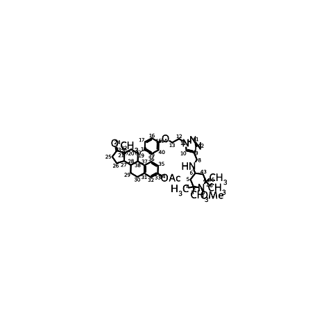 CON1C(C)(C)CC(NCc2cn(CCOc3ccc([C@H]4C[C@]5(C)C(=O)CCC5C5CCc6cc(OC(C)=O)ccc6C54)cc3)nn2)CC1(C)C